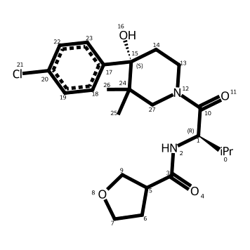 CC(C)[C@@H](NC(=O)C1CCOC1)C(=O)N1CC[C@](O)(c2ccc(Cl)cc2)C(C)(C)C1